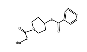 CC(C)(C)OC(=O)N1CCC(SC(=O)c2ccncc2)CC1